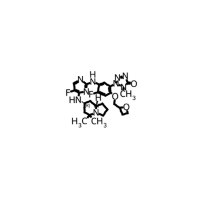 Cn1c(=O)nnn1-c1cc(Nc2ncc(F)c(N[C@@H]3C[C@@H]4CCCN4C(C)(C)C3)n2)c(F)cc1OCC1CCO1